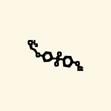 C=CCOc1ccc(S(=O)(=O)c2ccc(OCC)cc2)cc1